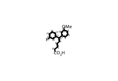 COc1cccc(/C(=C/C=C/CC(=O)O)c2cccc(F)c2)c1